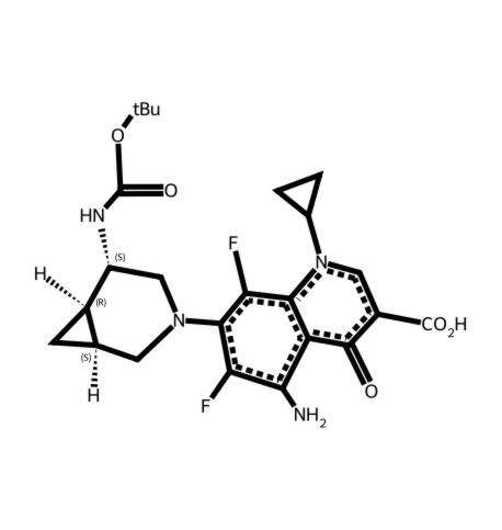 CC(C)(C)OC(=O)N[C@@H]1CN(c2c(F)c(N)c3c(=O)c(C(=O)O)cn(C4CC4)c3c2F)C[C@H]2C[C@H]21